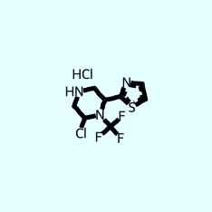 Cl.FC(F)(F)N1C(Cl)CNCC1c1nccs1